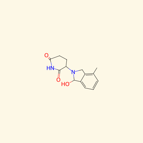 Cc1cccc2c1CN(C1CCC(=O)NC1=O)C2O